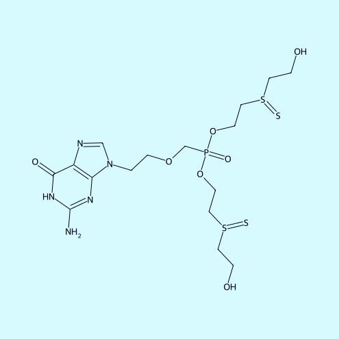 Nc1nc2c(ncn2CCOCP(=O)(OCCS(=S)CCO)OCCS(=S)CCO)c(=O)[nH]1